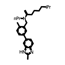 C=C(CCCCC(C)C)N(CCC)Cc1cc(-c2ccc3nc(C)[nH]c3c2)ccc1C